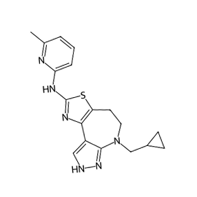 Cc1cccc(Nc2nc3c(s2)CCN(CC2CC2)c2n[nH]cc2-3)n1